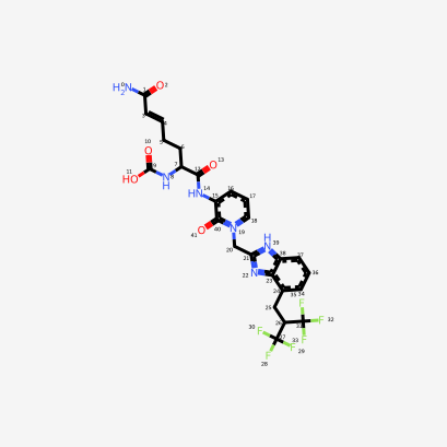 NC(=O)C=CCCC(NC(=O)O)C(=O)Nc1cccn(Cc2nc3c(CC(C(F)(F)F)C(F)(F)F)cccc3[nH]2)c1=O